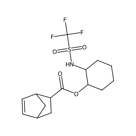 O=C(OC1CCCCC1NS(=O)(=O)C(F)(F)F)C1CC2C=CC1C2